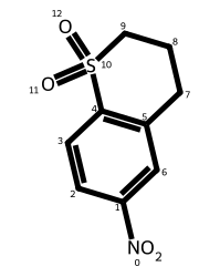 O=[N+]([O-])c1ccc2c(c1)CCCS2(=O)=O